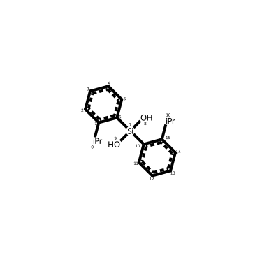 CC(C)c1ccccc1[Si](O)(O)c1ccccc1C(C)C